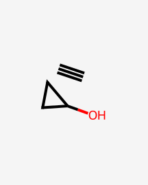 C#C.OC1CC1